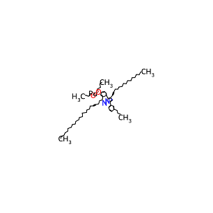 CCCCCCCCCCCCCCC#CC1=C(c2ccccc2CCCC#CCCCCCCCCCCCCCCCCCC)[N+](=[N-])C(c2cccc(CCCC)c2)=C1.CCCC[O][Pd][O]CCCC